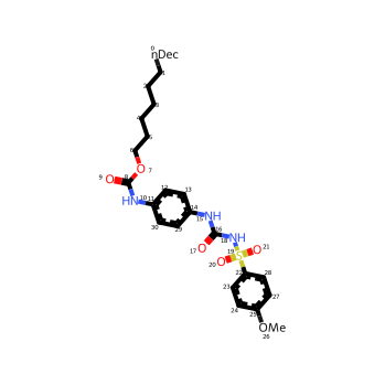 CCCCCCCCCCCCCCCCOC(=O)Nc1ccc(NC(=O)NS(=O)(=O)c2ccc(OC)cc2)cc1